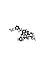 CSc1cccc(NC(=O)C2C3C=CC4(O3)C2C(=O)N(C(C)c2ccccc2)C4C(=O)NC2CCCC(C)C2C)c1